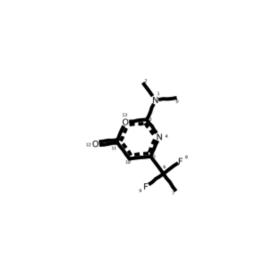 CN(C)c1nc(C(C)(F)F)cc(=O)o1